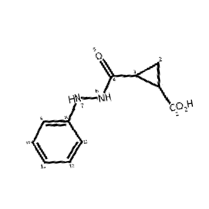 O=C(O)C1CC1C(=O)NNc1ccccc1